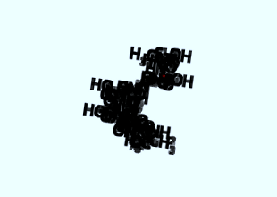 CC(S)NC(CC(=O)O)C(=O)NC(CC(=O)O)C(=O)NCC(=O)NCC(=O)NCC(=O)NC(CC(=O)O)C(=O)NC(CC(=O)O)C(=O)NC(CC(=O)O)C(=O)NC(Cc1ccccc1)C(=O)NC(Cc1ccccc1)C(=O)NC(C(N)=O)C(C)C